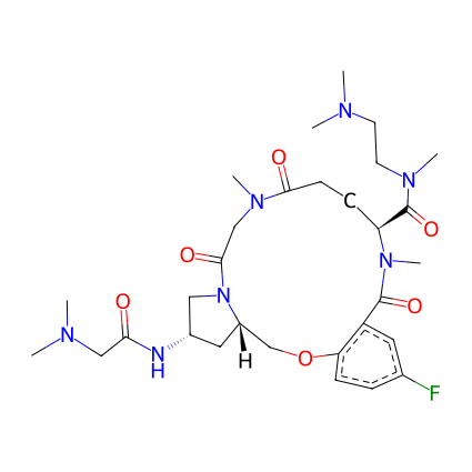 CN(C)CCN(C)C(=O)[C@@H]1CCC(=O)N(C)CC(=O)N2C[C@@H](NC(=O)CN(C)C)C[C@H]2COc2ccc(F)cc2C(=O)N1C